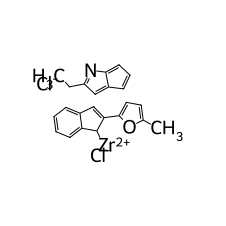 CCC1=NC2=CC=CC2=C1.Cc1ccc(C2=Cc3ccccc3[CH]2[Zr+2])o1.[Cl-].[Cl-]